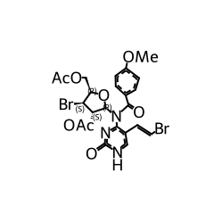 COc1ccc(C(=O)N(c2nc(=O)[nH]cc2C=CBr)[C@@H]2O[C@H](COC(C)=O)[C@H](Br)[C@H]2OC(C)=O)cc1